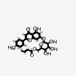 C/C=C/C(=O)OCC1OC(Oc2cc(O)c3c(=O)cc(-c4ccc(O)cc4)oc3c2)C(O)C(O)C1O